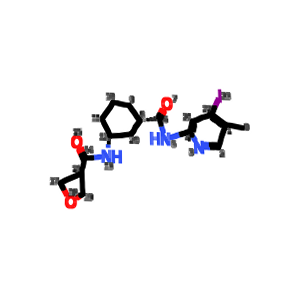 Cc1cnc(NC(=O)[C@H]2CCC[C@@H](NC(=O)C3COC3)C2)cc1I